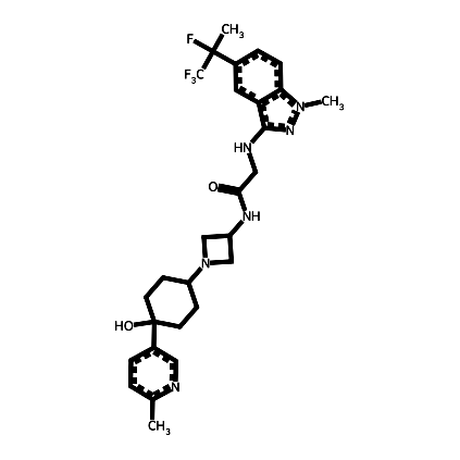 Cc1ccc(C2(O)CCC(N3CC(NC(=O)CNc4nn(C)c5ccc(C(C)(F)C(F)(F)F)cc45)C3)CC2)cn1